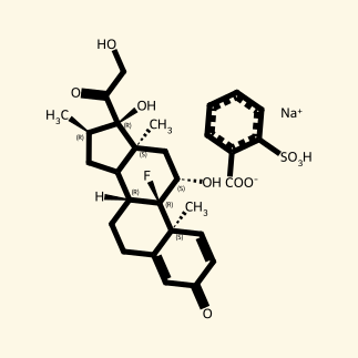 C[C@@H]1CC2[C@H]3CCC4=CC(=O)C=C[C@]4(C)[C@@]3(F)[C@@H](O)C[C@]2(C)[C@@]1(O)C(=O)CO.O=C([O-])c1ccccc1S(=O)(=O)O.[Na+]